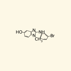 Cn1c(Nc2cccc(Br)c2)nc2cc(O)ccc21